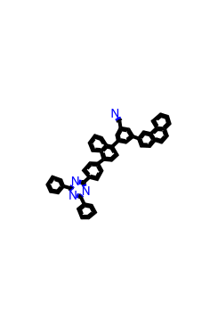 N#Cc1cc(-c2ccc3ccc4ccccc4c3c2)cc(-c2ccc(-c3ccc(-c4nc(-c5ccccc5)nc(-c5ccccc5)n4)cc3)c3ccccc23)c1